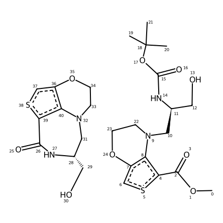 COC(=O)c1scc2c1N(C[C@H](CO)NC(=O)OC(C)(C)C)CCO2.O=C1N[C@@H](CO)CN2CCOc3csc1c32